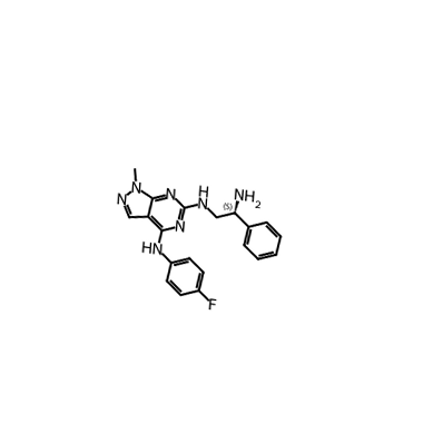 Cn1ncc2c(Nc3ccc(F)cc3)nc(NC[C@@H](N)c3ccccc3)nc21